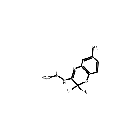 CC1(C)Oc2ccc([N+](=O)[O-])cc2N=C1NNC(=O)O